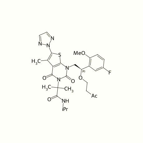 COc1ccc(F)cc1[C@H](Cn1c(=O)n(C(C)(C)C(=O)NC(C)C)c(=O)c2c(C)c(-n3nccn3)sc21)OCCC(C)=O